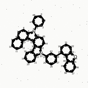 c1ccc(-n2c3ccc4ccccc4c3c3c4c5ccccc5n(-c5cccc(-c6cccc7oc8ccccc8c67)c5)c4ccc32)cc1